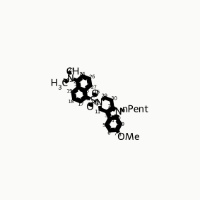 CCCCCn1c2c(c3ccc(OC)cc31)CN(S(=O)(=O)c1cccc3c(N(C)C)cccc13)CC2